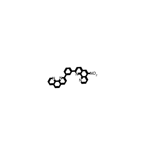 O=[N+]([O-])c1cc2ccc(-c3cccc(-c4ccc5ccc6cccnc6c5n4)c3)nc2c2ncccc12